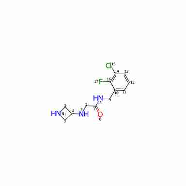 O=C(CNC1CNC1)NCc1cccc(Cl)c1F